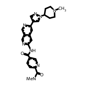 CNC(=O)c1ccc(C(=O)Nc2cc3cc(-c4cnn(C5CCN(C)CC5)c4)ncc3cn2)cn1